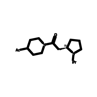 CC(=O)C1CCN(C(=O)C[C@@H]2CCCN2C(C)C)CC1